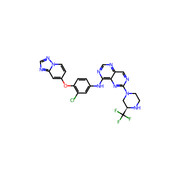 FC(F)(F)[C@H]1CN(c2ncc3ncnc(Nc4ccc(Oc5ccn6ncnc6c5)c(Cl)c4)c3n2)CCN1